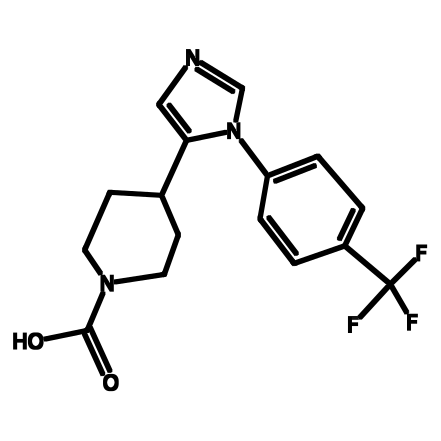 O=C(O)N1CCC(c2cncn2-c2ccc(C(F)(F)F)cc2)CC1